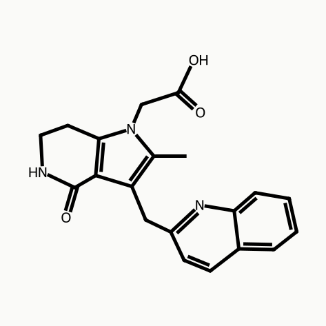 Cc1c(Cc2ccc3ccccc3n2)c2c(n1CC(=O)O)CCNC2=O